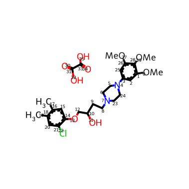 COc1cc(N2CCN(CCC(O)COc3cc(C)c(C)cc3Cl)CC2)cc(OC)c1OC.O=C(O)C(=O)O